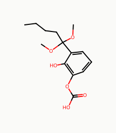 CCCCC(OC)(OC)c1cccc(OC(=O)O)c1O